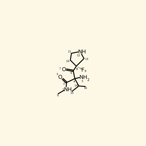 CNC(=O)C(N)(C(=O)[C@@]1(F)CCNC1)C(C)C